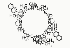 CC(C)[C@H]1C(=O)NC[C@@H](NC(=O)c2nc3ccccc3cc2O)C(=O)N2CCCC[C@H]2C(=O)NCC(=O)N(C)CC(=O)N(C)[C@@H]([C@@H](C)OC(C)(C)C)C(=O)NC[C@@H](NC(=O)c2nc3ccccc3cc2O)C(=O)N2CCCC[C@H]2C(=O)NCC(=O)N(C)CC(=O)N1C